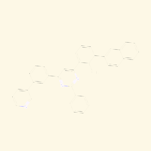 CC1C(c2cc(-c3cccc(-c4cccnc4)c3)nc(-c3ccccc3)n2)=CC=CC1c1ccc2ccccc2c1